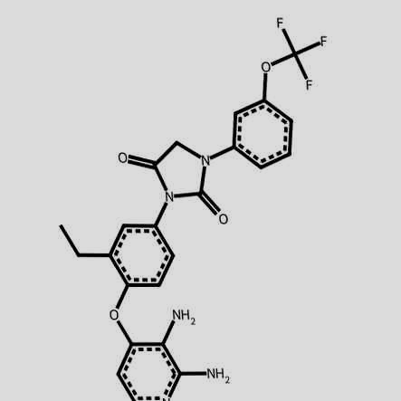 CCc1cc(N2C(=O)CN(c3cccc(OC(F)(F)F)c3)C2=O)ccc1Oc1ccnc(N)c1N